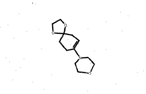 C1=C(N2CCOCC2)CCC2(C1)OCCO2